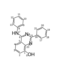 Oc1cccc2c(Nc3ccccc3)nc(-c3ccccc3)nc12